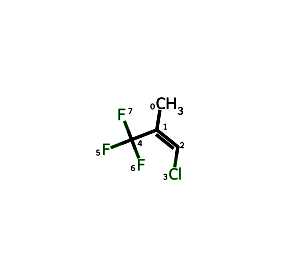 CC(=CCl)C(F)(F)F